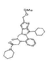 COOCc1cc2c(s1)c(C1CCCCC1)c1n2CC(=O)N(CC(=O)N2CCCCC2)c2ccccc2-1